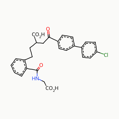 O=C(O)CNC(=O)c1ccccc1CCC(CC(=O)c1ccc(-c2ccc(Cl)cc2)cc1)C(=O)O